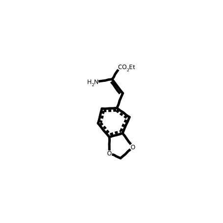 CCOC(=O)/C(N)=C/c1ccc2c(c1)OCO2